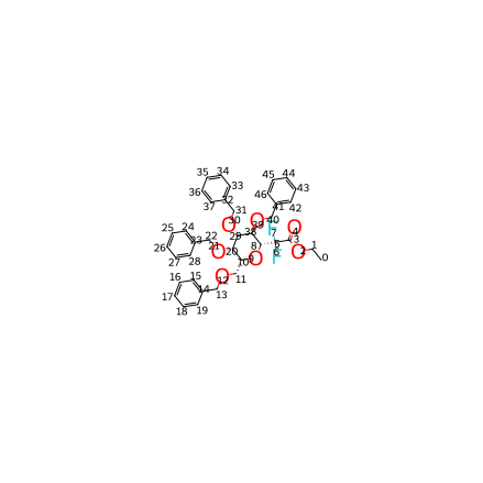 CCOC(=O)C(F)(F)[C@@H]1O[C@H](COCc2ccccc2)[C@H](OCc2ccccc2)[C@H](OCc2ccccc2)[C@H]1OCc1ccccc1